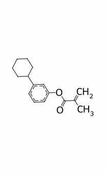 C=C(C)C(=O)Oc1cccc(C2CCCCC2)c1